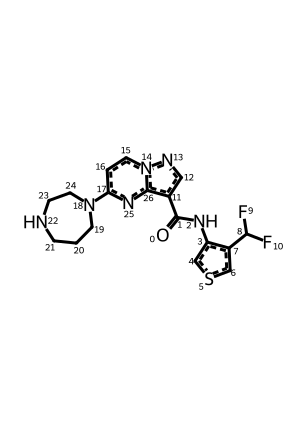 O=C(Nc1cscc1C(F)F)c1cnn2ccc(N3CCCNCC3)nc12